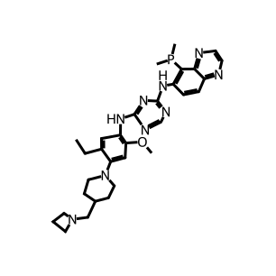 CCc1cc(Nc2ncnc(Nc3ccc4nccnc4c3P(C)C)n2)c(OC)cc1N1CCC(CN2CCC2)CC1